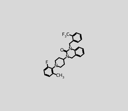 Cc1cccc(F)c1N1CCC(N2Cc3ccccc3N(Cc3ccccc3C(F)(F)F)C2=O)CC1